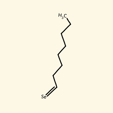 CCCCCCCC=[Se]